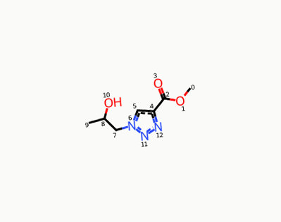 COC(=O)c1cn(CC(C)O)nn1